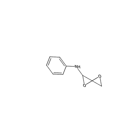 c1ccc(NC2OC23CO3)cc1